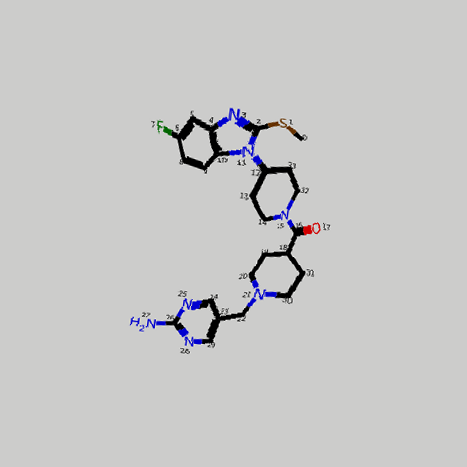 CSc1nc2cc(F)ccc2n1C1CCN(C(=O)C2CCN(Cc3cnc(N)nc3)CC2)CC1